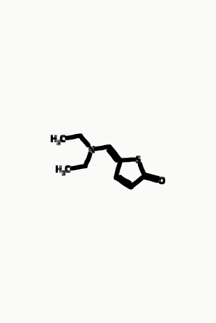 CCN(/C=C1\C=CC(=O)S1)CC